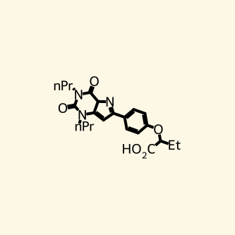 CCCN1C(=O)C2N=C(c3ccc(OC(CC)C(=O)O)cc3)C=C2N(CCC)C1=O